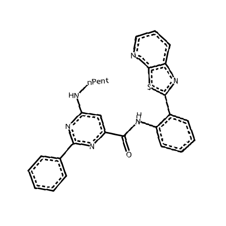 CCCCCNc1cc(C(=O)Nc2ccccc2-c2nc3cccnc3s2)nc(-c2ccccc2)n1